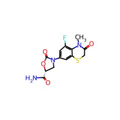 CN1C(=O)CSc2cc(N3C[C@H](C(N)=O)OC3=O)cc(F)c21